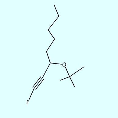 CCCCCC(C#CF)OC(C)(C)C